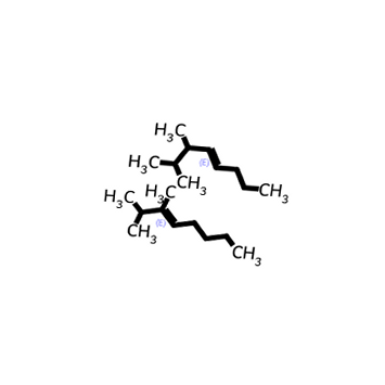 CCC/C=C/C(C)C(C)C.CCCC/C=C(\C)C(C)C